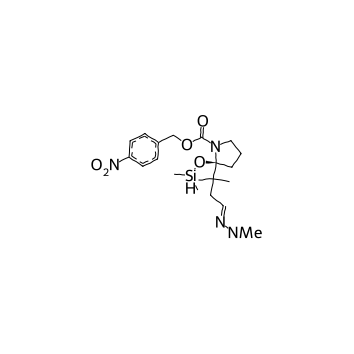 CN/N=C/CC(C)(C)[C@@]1(O[SiH](C)C)CCCN1C(=O)OCc1ccc([N+](=O)[O-])cc1